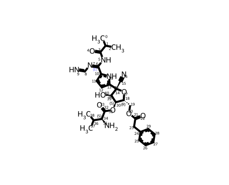 CC(C)C(=O)N/C(=N/C=N)c1ccc([C@]2(C#N)O[C@H](COC(=O)Cc3ccccc3)[C@@H](OC(=O)[C@@H](N)C(C)C)[C@H]2O)[nH]1